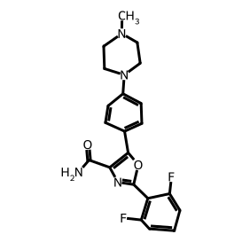 CN1CCN(c2ccc(-c3oc(-c4c(F)cccc4F)nc3C(N)=O)cc2)CC1